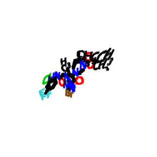 CCc1c(N2CC[C@@H](C)N(C(=O)OC(C)(C)C)CC2)c(=O)n2nc(Br)nc2n1CC(=O)Nc1ccc(C(F)(F)F)cc1Cl